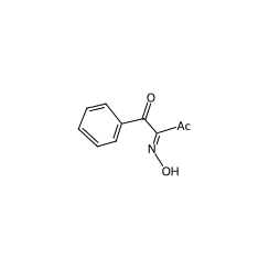 CC(=O)C(=NO)C(=O)c1ccccc1